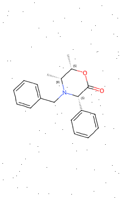 C[C@@H]1OC(=O)[C@H](c2ccccc2)N(Cc2ccccc2)[C@@H]1C